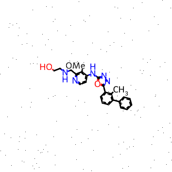 COc1c(Nc2nnc(-c3cccc(-c4ccccc4)c3C)o2)ccnc1CNCCO